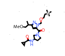 COCC(C)c1cc(C(=O)N2CCC(NC(=O)C3CC3)C2)n(COCC[Si](C)(C)C)n1